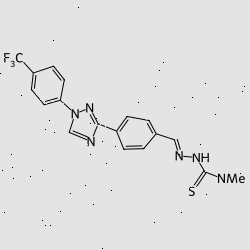 CNC(=S)N/N=C/c1ccc(-c2ncn(-c3ccc(C(F)(F)F)cc3)n2)cc1